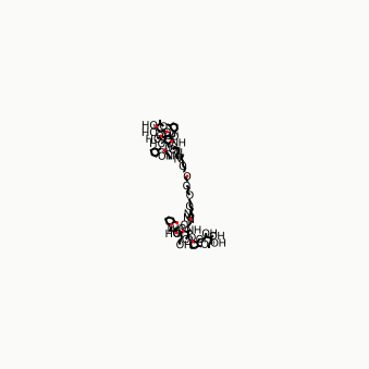 CC1CCC[C@@H](O[C@@H]2OC(CO)[C@H](O)C(O[C@@H](CC3CCCCC3)C(=O)N(C)C)C2NC(=O)Cn2cc(COCCOCCOCCOCCOCc3cn(CC(=O)NC4C(O[C@@H](CC5CCCCC5)C(=O)N(C)C)[C@@H](O)C(CO)O[C@H]4O[C@@H]4CCCC(C)C4O[C@@H]4OC(C)[C@@H](O)C(O)C4O)nn3)nn2)C1O[C@@H]1OC(C)[C@@H](O)C(O)C1O